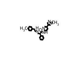 Cc1ccc(CCNCC(C(=O)Nc2ccc(-c3cnn(C)c3)cn2)c2ccccc2)cc1